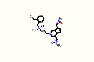 CC(C)(C)/[N+]([O-])=C/c1cn(CCC[N+](C)(C)Cc2ccccc2CCl)cc2c(/C=[N+](\[O-])C(C)(C)C)ccc1-2